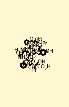 CCC[C@H](NC(=O)[C@@H]1CCCN1C(=O)[C@@H](NC(=O)[C@H](N)CC(N)=O)[C@@H](C)CC)C(=O)N[C@@H](CC(C)C)C(=O)N[C@@H](Cc1ccc(O)cc1)C(=O)N[C@H](CO)C(=O)N[C@@H](Cc1ccccc1)C(=O)N[C@@H](C)C(=O)N[C@H](CO)C(=O)O